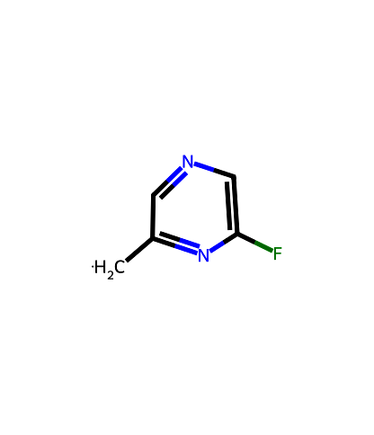 [CH2]c1cncc(F)n1